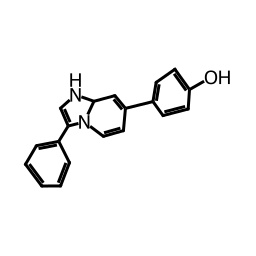 Oc1ccc(C2=CC3NC=C(c4ccccc4)N3C=C2)cc1